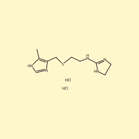 Cc1[nH]cnc1CSCCNC1=NCCN1.Cl.Cl